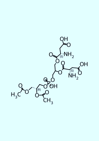 CC(=O)OC[C@H](COP(=O)(O)OCC(COC(=O)[C@@H](N)CC(=O)O)OC(=O)[C@@H](N)CC(=O)O)OC(C)=O